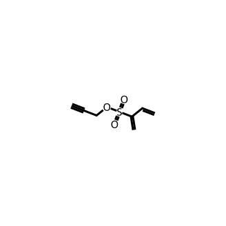 C#CCOS(=O)(=O)C(=C)C=C